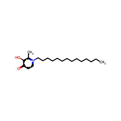 CCCCCCCCCCCCCCn1ccc(=O)c(O)c1C